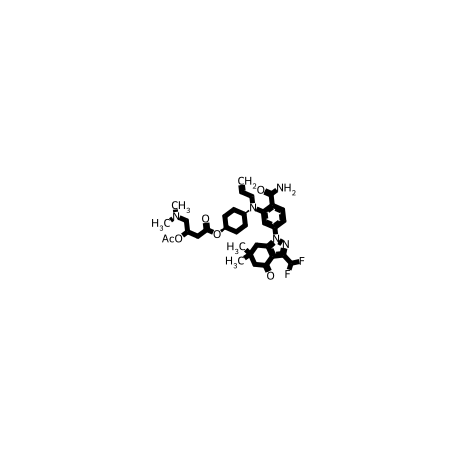 C=CCN(c1cc(-n2nc(C(F)F)c3c2CC(C)(C)CC3=O)ccc1C(N)=O)[C@H]1CC[C@H](OC(=O)CC(CN(C)C)OC(C)=O)CC1